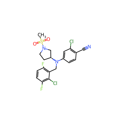 CS(=O)(=O)N1CC[C@H](N(Cc2c(F)ccc(F)c2Cl)c2ccc(C#N)c(Cl)c2)C1